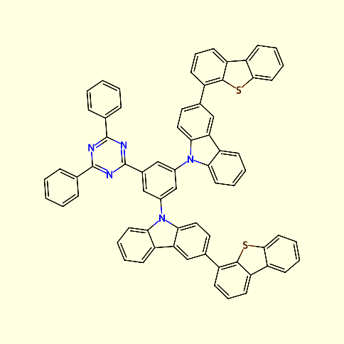 c1ccc(-c2nc(-c3ccccc3)nc(-c3cc(-n4c5ccccc5c5cc(-c6cccc7c6sc6ccccc67)ccc54)cc(-n4c5ccccc5c5cc(-c6cccc7c6sc6ccccc67)ccc54)c3)n2)cc1